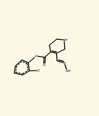 O=C(Oc1ccccc1Cl)C1=C(/C=N/O)CNCC1